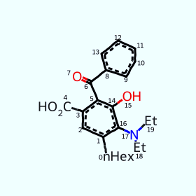 CCCCCCc1cc(C(=O)O)c(C(=O)c2ccccc2)c(O)c1N(CC)CC